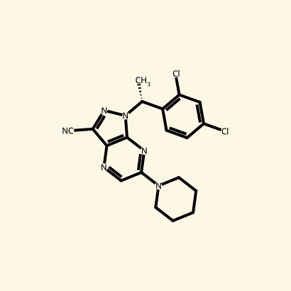 C[C@H](c1ccc(Cl)cc1Cl)n1nc(C#N)c2ncc(N3CCCCC3)nc21